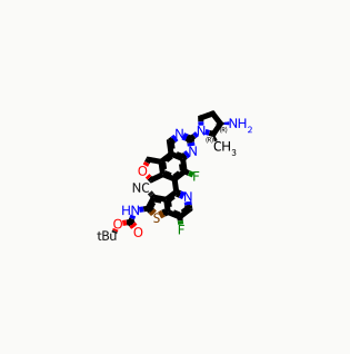 C[C@@H]1[C@H](N)CCN1c1ncc2c3c(c(-c4ncc(F)c5sc(NC(=O)OC(C)(C)C)c(C#N)c45)c(F)c2n1)COC3